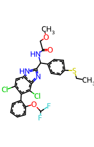 CCSc1ccc(C(NC(=O)COC)c2nc3c(Cl)c(-c4ccccc4OC(F)F)c(Cl)cc3[nH]2)cc1